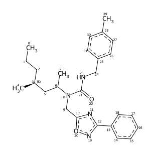 CCC[C@H](C)CC(C)N(Cc1nc(-c2ccccc2)no1)C(=O)NCc1ccc(C)cc1